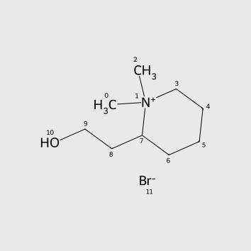 C[N+]1(C)CCCCC1CCO.[Br-]